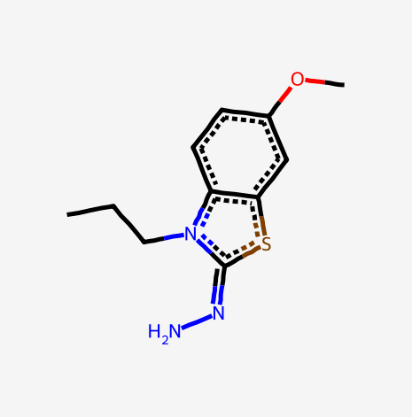 CCCn1c(=NN)sc2cc(OC)ccc21